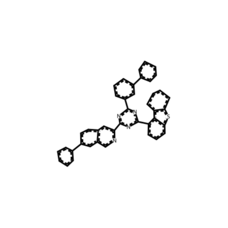 c1ccc(-c2cccc(-c3nc(-c4cc5ccc(-c6ccccc6)cc5cn4)nc(-c4cccc5sc6ccccc6c45)n3)c2)cc1